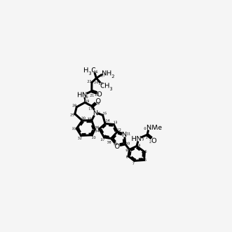 CNC(=O)Nc1ccccc1-c1nc2cc(CN3C(=O)[C@H](NC(=O)CC(C)(C)N)CCc4ccccc43)ccc2o1